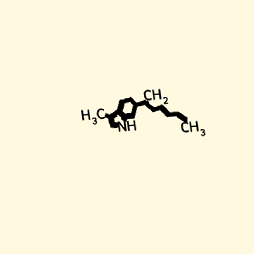 C=C(CC=C/C=C\C)C1C=c2[nH]cc(C)c2=CC1